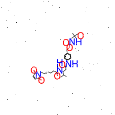 CC(C)C(CC(=O)Nc1ccc(COC(=O)NCC(C)(C)C=O)cc1)NC(=O)CCCCCN1C(=O)C=CC1=O